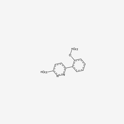 CCCCCCCCOc1ccccc1-c1ccc(CCCCCCCC)nn1